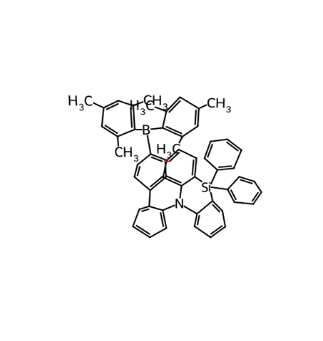 Cc1cc(C)c(B(c2ccc(-c3ccccc3N3c4ccccc4[Si](c4ccccc4)(c4ccccc4)c4ccccc43)cc2)c2c(C)cc(C)cc2C)c(C)c1